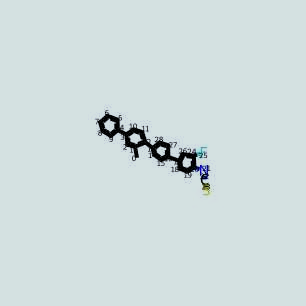 Cc1cc(-c2ccccc2)ccc1-c1ccc(-c2ccc(N=C=S)c(F)c2)cc1